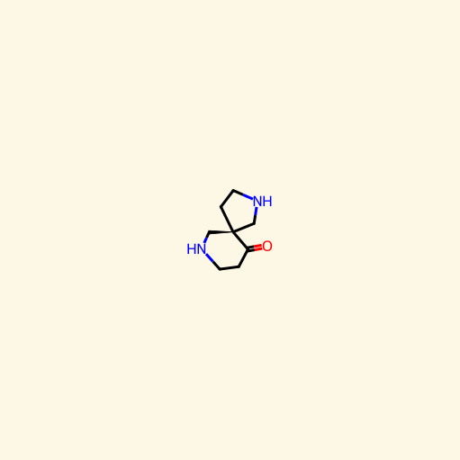 O=C1CCNC[C@]12CCNC2